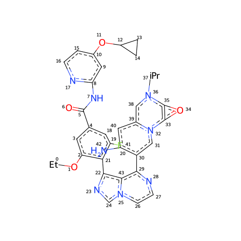 CCOc1cc(C(=O)Nc2cc(OC3CC3)ccn2)cc(F)c1-c1ncn2ccnc(-c3cn4c5oc=5n(C(C)C)cc4cc3N)c12